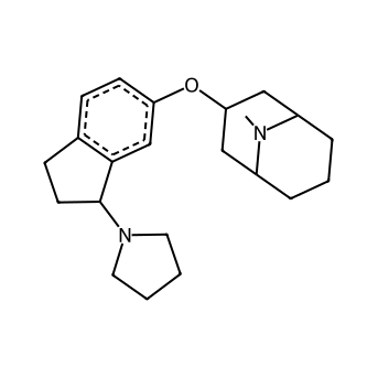 CN1C2CCCC1CC(Oc1ccc3c(c1)C(N1CCCC1)CC3)C2